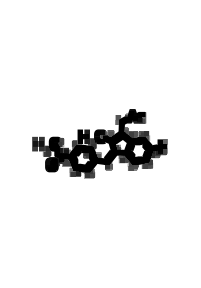 CC(=O)CC1=C(C)/C(=C\c2ccc([S+](C)[O-])cc2)c2ccc(F)cc21